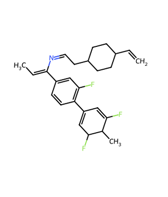 C=CC1CCC(C/C=N\C(=C/C)c2ccc(C3=CC(F)C(C)C(F)=C3)c(F)c2)CC1